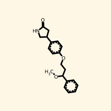 COC(CCOc1ccc(C2CNC(=O)C2)cc1)c1ccccc1